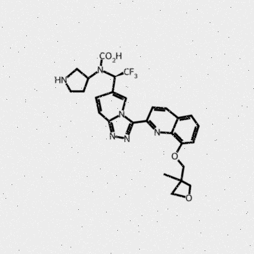 CC1(COc2cccc3ccc(-c4nnc5ccc([C@@H](N(C(=O)O)C6CCNC6)C(F)(F)F)cn45)nc23)COC1